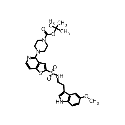 COc1ccc2[nH]cc(CCNS(=O)(=O)c3cc4c(N5CCN(C(=O)OC(C)(C)C)CC5)nccc4s3)c2c1